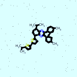 Cc1ccc2c(c1)c1cc(C)ccc1c1nc3c(C(C)C)ccc(-c4ccc(-c5ccc(C(C)C)s5)s4)c3nc21